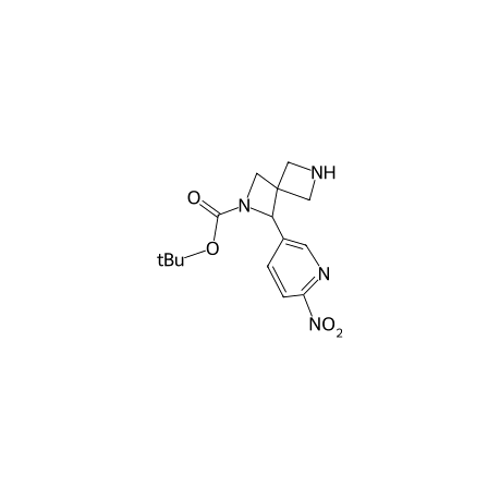 CC(C)(C)OC(=O)N1CC2(CNC2)C1c1ccc([N+](=O)[O-])nc1